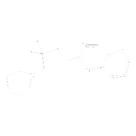 c1ccc2nc(OCC3(CN4CCOCC4)CC3)ncc2c1